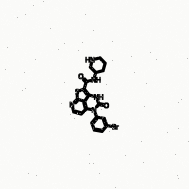 O=C(NC1CCCNC1)c1sc2nccc3c2c1NC(=O)N3c1cccc(Br)c1